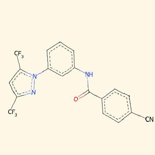 N#Cc1ccc(C(=O)Nc2cccc(-n3nc(C(F)(F)F)cc3C(F)(F)F)c2)cc1